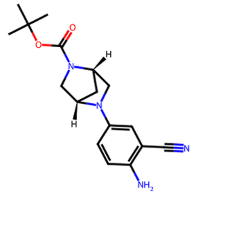 CC(C)(C)OC(=O)N1C[C@@H]2C[C@H]1CN2c1ccc(N)c(C#N)c1